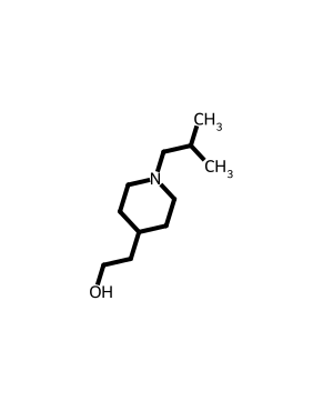 CC(C)CN1CCC(CCO)CC1